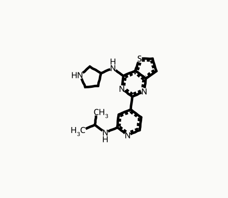 CC(C)Nc1cc(-c2nc(NC3CCNC3)c3sccc3n2)ccn1